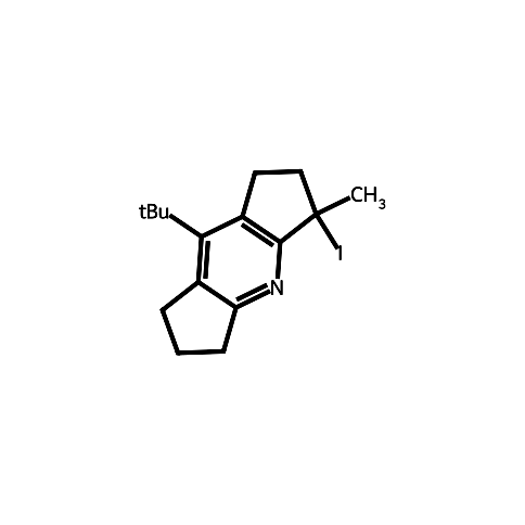 CC(C)(C)c1c2c(nc3c1CCC3(C)I)CCC2